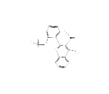 Cc1c(C(N)=O)c(-c2ccccc2SC(F)(F)F)nc2ccccc12